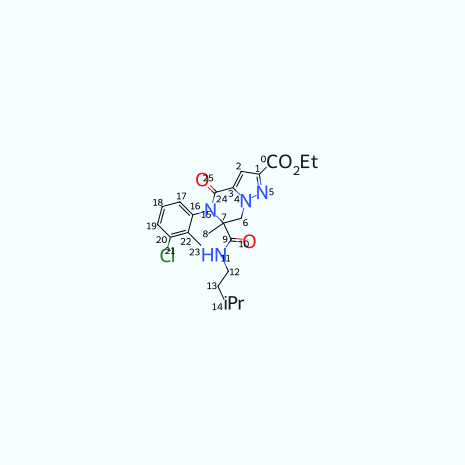 CCOC(=O)c1cc2n(n1)CC(C)(C(=O)NCCC(C)C)N(c1cccc(Cl)c1C)C2=O